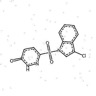 O=c1ccc(S(=O)(=O)n2cc(Cl)c3ccccc32)n[nH]1